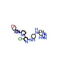 C[C@@H](Cc1nnn[nH]1)N[C@H]1CC[C@H](Nc2cc(-c3cccc(NCC4(C#N)CCOCC4)n3)c(Cl)cn2)CC1